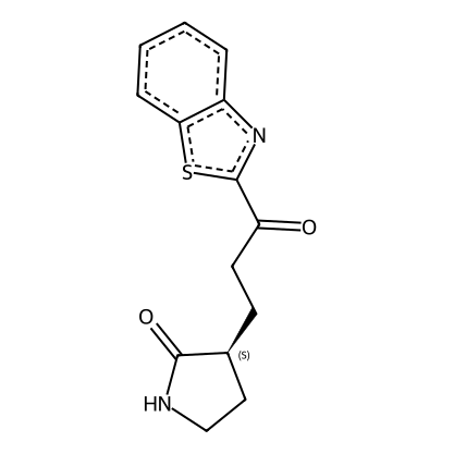 O=C(CC[C@H]1CCNC1=O)c1nc2ccccc2s1